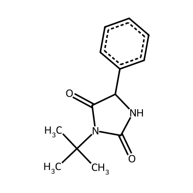 CC(C)(C)N1C(=O)NC(c2ccccc2)C1=O